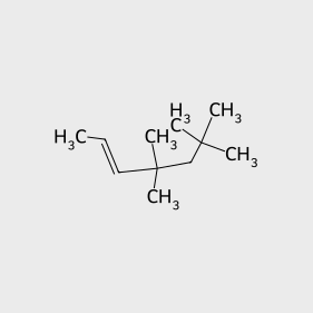 CC=CC(C)(C)CC(C)(C)C